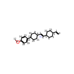 C=CC1CCC(/C=C/C2CCC(c3ccc(OC)cc3)CC2)CC1